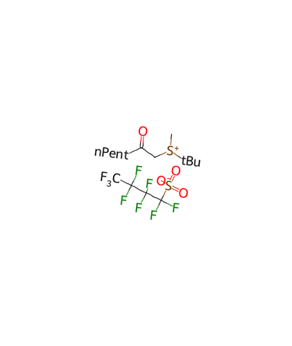 CCCCCC(=O)C[S+](C)C(C)(C)C.O=S(=O)([O-])C(F)(F)C(F)(F)C(F)(F)C(F)(F)F